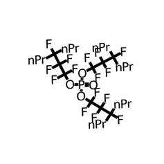 CCCC(F)(CCC)C(F)(F)C(F)(F)OP(=O)(OC(F)(F)C(F)(F)C(F)(CCC)CCC)OC(F)(F)C(F)(F)C(F)(CCC)CCC